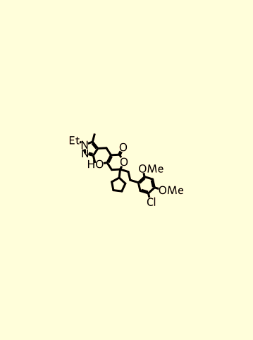 CCn1nc(C)c(CC2=C(O)CC(CCc3cc(Cl)c(OC)cc3OC)(C3CCCC3)OC2=O)c1C